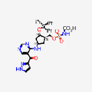 CC(C)[Si](O[C@H]1C[C@H](Nc2ncncc2C(=O)c2cc[nH]n2)C[C@@H]1COS(=O)(=O)NC(=O)O)(C(C)C)C(C)C